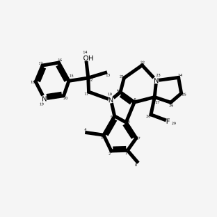 Cc1cc(C)c2c(c1)c1c(n2CC(C)(O)c2cccnc2)CCN2CCCC12CF